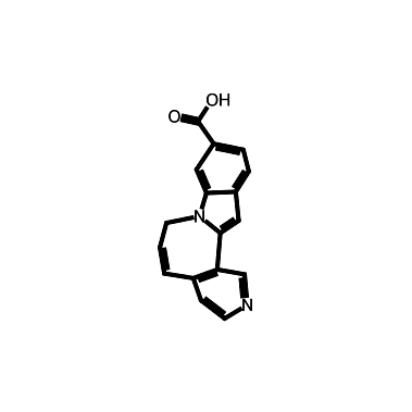 O=C(O)c1ccc2cc3n(c2c1)CC=Cc1ccncc1-3